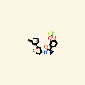 C=C/C=C(\C=C/C)[C@H]1C[C@H](NC(=O)C2(c3ccc4c(c3)OC(F)(F)O4)CC2)CCO1